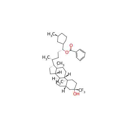 C[C@H]1CCCC([C@@H](CC[C@@H](C)[C@H]2CC[C@H]3[C@@H]4CC[C@H]5C[C@](O)(C(F)(F)F)CC[C@]5(C)[C@H]4CC[C@]23C)OC(=O)c2ccccc2)C1